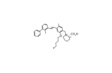 Cc1cc(CN2CCCC[C@H]2C(=O)O)c(OCCCCF)cc1/C=C/c1cccc(-c2ccccc2)c1C